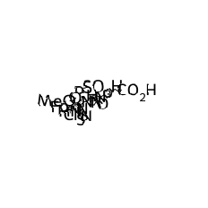 COC(=O)C1=C(CN2CCN3C(=O)N(c4ccc(CCC(=O)O)cc4)C[C@@H]3C2)N=C(c2nccs2)N[C@H]1c1ccc(F)cc1Cl.O=S(=O)(O)c1ccccc1